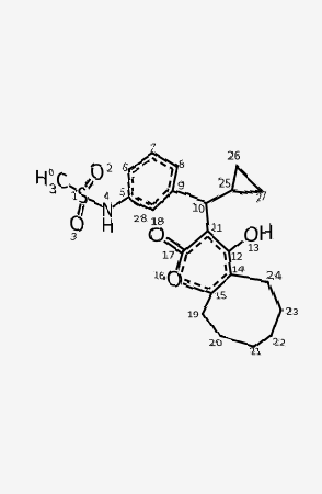 CS(=O)(=O)Nc1cccc(C(c2c(O)c3c(oc2=O)CCCCCC3)C2CC2)c1